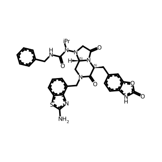 CC(C)N(C(=O)NCc1ccccc1)N1CC(=O)N2[C@@H](Cc3ccc4[nH]c(=O)oc4c3)C(=O)N(Cc3cccc4sc(N)nc34)C[C@@H]21